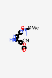 COCCNC(=O)N1CC=C(c2cnc3[nH]cc(-c4ccc(OC5CCOCC5)c(C#N)c4)c3c2)CC1